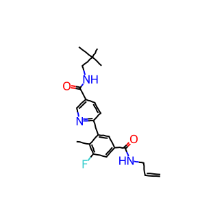 C=CCNC(=O)c1cc(F)c(C)c(-c2ccc(C(=O)NCC(C)(C)C)cn2)c1